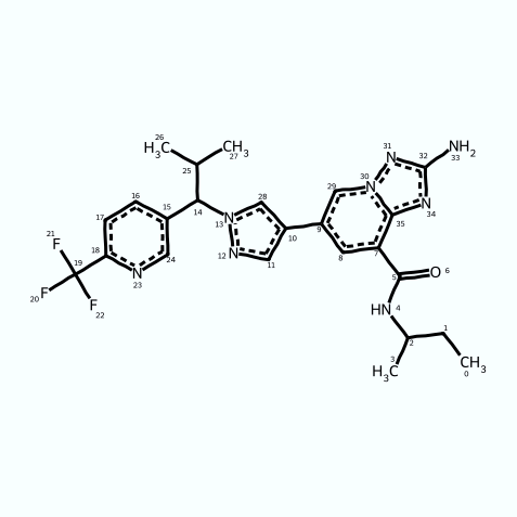 CCC(C)NC(=O)c1cc(-c2cnn(C(c3ccc(C(F)(F)F)nc3)C(C)C)c2)cn2nc(N)nc12